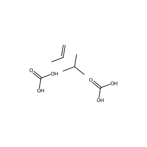 C=CC.CC(C)C.O=C(O)O.O=C(O)O